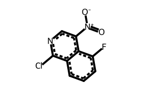 O=[N+]([O-])c1cnc(Cl)c2cccc(F)c12